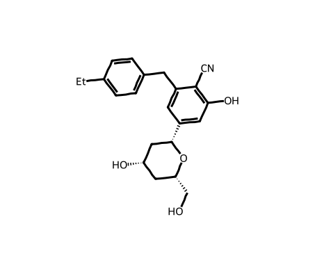 CCc1ccc(Cc2cc([C@H]3C[C@@H](O)C[C@@H](CO)O3)cc(O)c2C#N)cc1